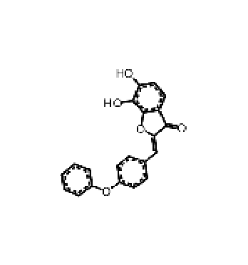 O=C1C(=Cc2ccc(Oc3ccccc3)cc2)Oc2c1ccc(O)c2O